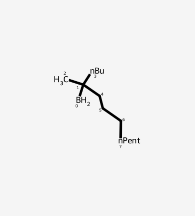 BC(C)(CCCC)CCCCCCCC